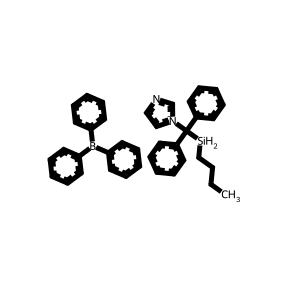 CCCC[SiH2]C(c1ccccc1)(c1ccccc1)n1ccnc1.c1ccc(B(c2ccccc2)c2ccccc2)cc1